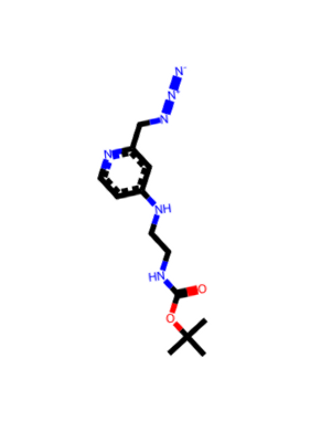 CC(C)(C)OC(=O)NCCNc1ccnc(CN=[N+]=[N-])c1